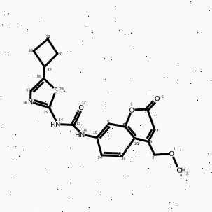 COCc1cc(=O)oc2cc(NC(=O)Nc3ncc(C4CCC4)s3)ccc12